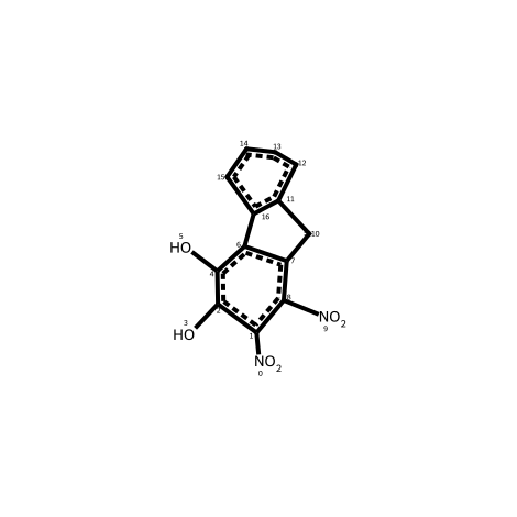 O=[N+]([O-])c1c(O)c(O)c2c(c1[N+](=O)[O-])[C]c1ccccc1-2